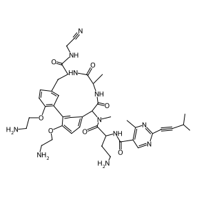 Cc1nc(C#CC(C)C)ncc1C(=O)NC(CCN)C(=O)N(C)C1C(=O)NC(C)C(=O)NC(C(=O)NCC#N)Cc2ccc(OCCN)c(c2)-c2cc1ccc2OCCN